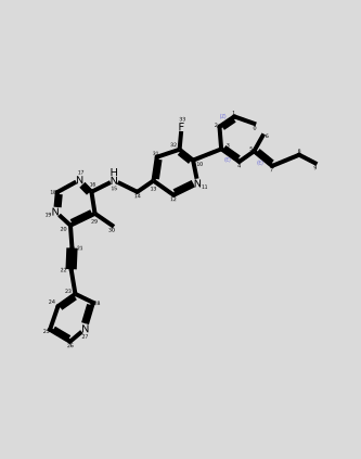 C\C=C/C(=C\C(C)=C\CC)c1ncc(CNc2ncnc(C#Cc3cccnc3)c2C)cc1F